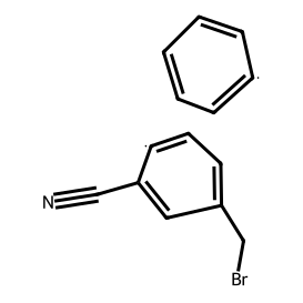 N#Cc1[c]ccc(CBr)c1.[c]1ccccc1